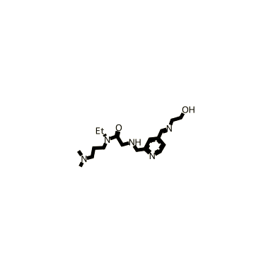 CCN(CCCN(C)C)C(=O)CNCc1cc(C=NCCO)ccn1